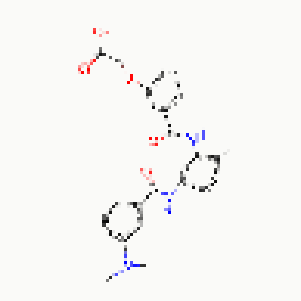 Cc1ccc(NC(=O)c2cccc(N(C)C)c2)cc1NC(=O)c1cccc(OCC(=O)O)c1